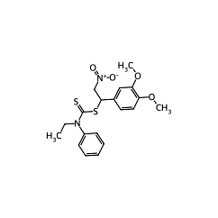 CCN(C(=S)SC(C[N+](=O)[O-])c1ccc(OC)c(OC)c1)c1ccccc1